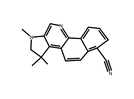 CN1CC(C)(C)c2c1cnc1c2ccc2c(C#N)cccc21